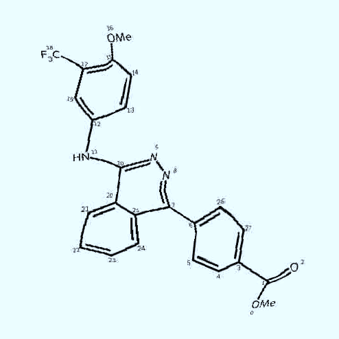 COC(=O)c1ccc(-c2nnc(Nc3ccc(OC)c(C(F)(F)F)c3)c3ccccc23)cc1